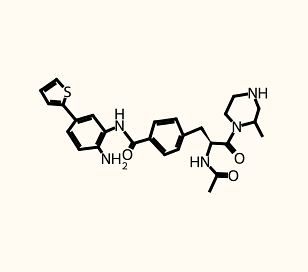 CC(=O)N[C@@H](Cc1ccc(C(=O)Nc2cc(-c3cccs3)ccc2N)cc1)C(=O)N1CCNCC1C